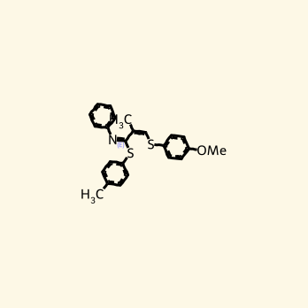 COc1ccc(SC=C(C)/C(=N\c2ccccc2)Sc2ccc(C)cc2)cc1